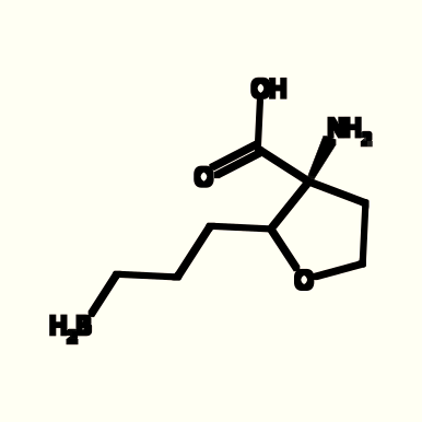 BCCCC1OCC[C@@]1(N)C(=O)O